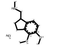 CNCC1CCc2c1ccc(OC)c2OC.Cl